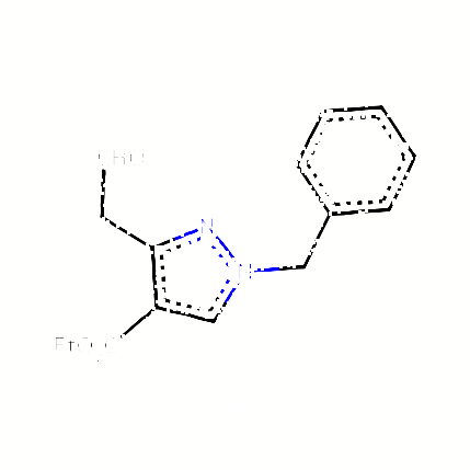 CCOC(=O)c1cn(Cc2ccccc2)nc1CC=O